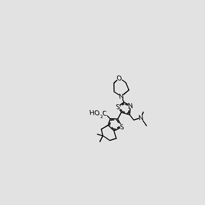 CN(C)Cc1nc(N2CCOCC2)sc1-c1sc2c(c1C(=O)O)CC(C)(C)CC2